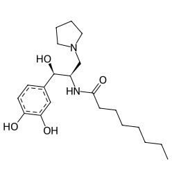 CCCCCCCC(=O)N[C@H](CN1CCCC1)[C@H](O)c1ccc(O)c(O)c1